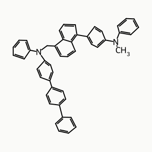 CN(c1ccccc1)c1ccc(-c2cccc3c(CN(c4ccccc4)c4ccc(-c5ccc(-c6ccccc6)cc5)cc4)cccc23)cc1